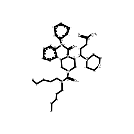 CCCCCN(CCCCC)C(=O)N1CCN(C(=O)N(c2ccccc2)c2ccccc2)[C@H](C(CCC(N)=O)N2CCOCC2)C1